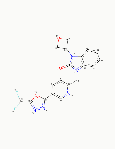 O=c1n(Cc2ccc(-c3nnc(C(F)F)o3)cn2)c2ccccc2n1C1COC1